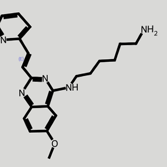 COc1ccc2nc(/C=C/c3ccccn3)nc(NCCCCCCN)c2c1